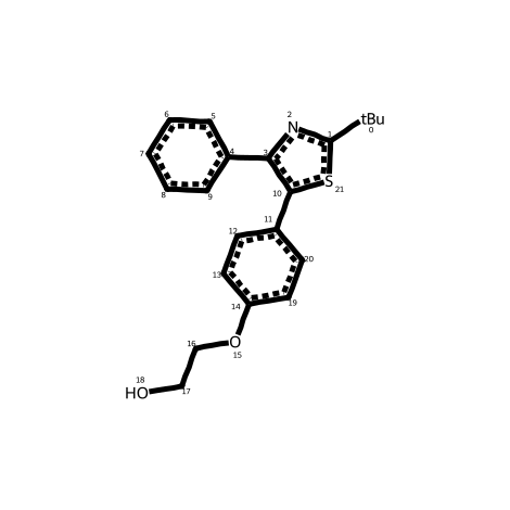 CC(C)(C)c1nc(-c2ccccc2)c(-c2ccc(OCCO)cc2)s1